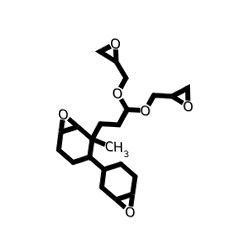 CC1(CCC(OCC2CO2)OCC2CO2)[C](C2CCC3OC3C2)CCC2OC21